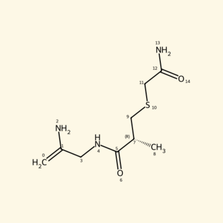 C=C(N)CNC(=O)[C@@H](C)CSCC(N)=O